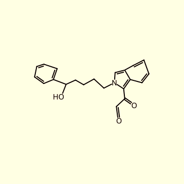 O=CC(=O)c1c2ccccc2cn1CCCCC(O)c1ccccc1